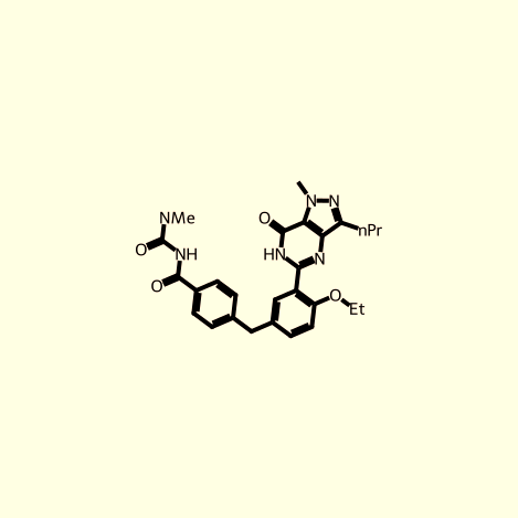 CCCc1nn(C)c2c(=O)[nH]c(-c3cc(Cc4ccc(C(=O)NC(=O)NC)cc4)ccc3OCC)nc12